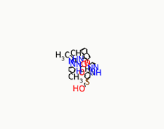 COc1cc(Nc2nccc(Oc3ccc4ccccc4c3NC(=O)Nc3cc(C(C)C)nn3-c3ccc(C)cc3)n2)cc(SCCO)c1